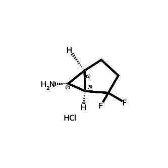 Cl.N[C@@H]1[C@H]2CCC(F)(F)[C@@H]12